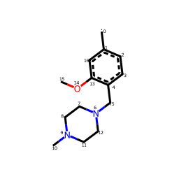 [CH2]c1ccc([CH]N2CCN(C)CC2)c(OC)c1